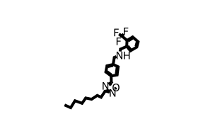 CCCCCCCCc1noc(-c2ccc(CNCc3ccccc3C(F)(F)F)cc2)n1